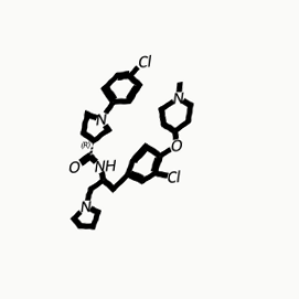 CN1CCC(Oc2ccc(CC(CN3CCCC3)NC(=O)[C@@H]3CCN(c4ccc(Cl)cc4)C3)cc2Cl)CC1